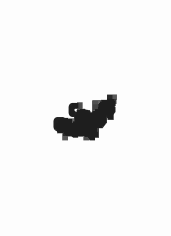 Fc1cnc(N2CCC(c3nnc4n3-c3ccc(Cl)cc3CN(CC(F)(F)C3COC3)C4)CC2)c(F)c1